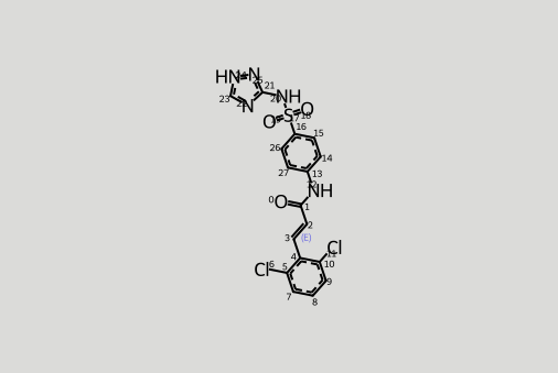 O=C(/C=C/c1c(Cl)cccc1Cl)Nc1ccc(S(=O)(=O)Nc2nc[nH]n2)cc1